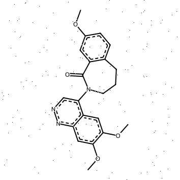 COc1ccc2c(c1)C(=O)N(c1cnnc3cc(OC)c(OC)cc13)CCC2